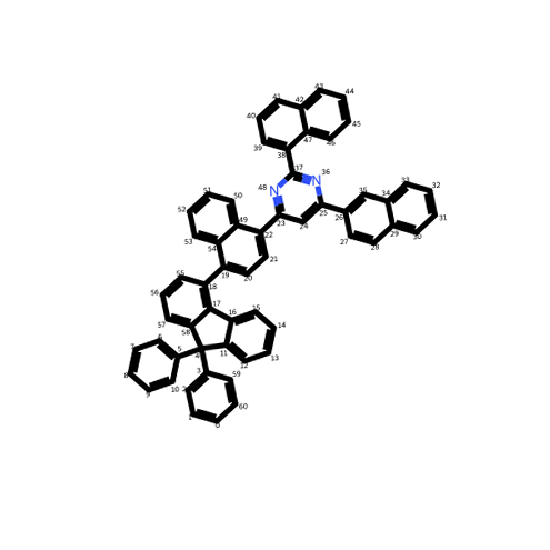 c1ccc(C2(c3ccccc3)c3ccccc3-c3c(-c4ccc(-c5cc(-c6ccc7ccccc7c6)nc(-c6cccc7ccccc67)n5)c5ccccc45)cccc32)cc1